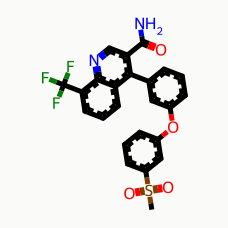 CS(=O)(=O)c1cccc(Oc2cccc(-c3c(C(N)=O)cnc4c(C(F)(F)F)cccc34)c2)c1